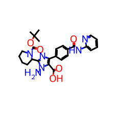 CC(C)(C)OC(=O)N1CCCCC1c1nc(-c2ccc(C(=O)Nc3ccccn3)cc2)c(C(=O)O)n1N